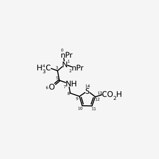 CCCN(CCC)C(C)C(=O)NCc1ccc(C(=O)O)s1